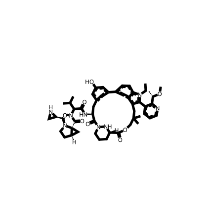 CCn1c(-c2cccnc2[C@H](C)OC)c2c3cc(ccc31)-c1cc(O)cc(c1)C[C@H](NC(=O)C(C(C)C)N(C)C(=O)[C@]13C[C@H]1CCN3C(=O)[C@H]1CN1)C(=O)N1CCC[C@H](N1)C(=O)OCC(C)(C)C2